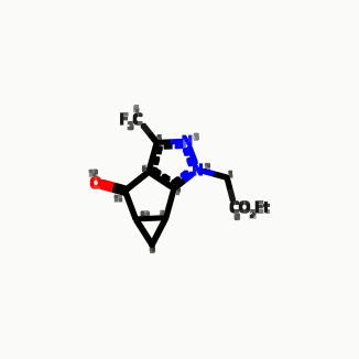 CCOC(=O)Cn1nc(C(F)(F)F)c2c1C1CC1C2=O